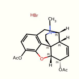 Br.CC(=O)Oc1ccc2c3c1O[C@H]1[C@@H](OC(C)=O)C=C[C@H]4[C@@H](C2)N(C)CC[C@@]341